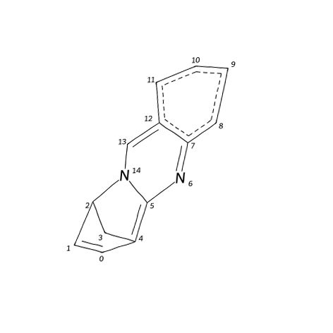 C1=CC2CC1=C1N=c3ccccc3=CN12